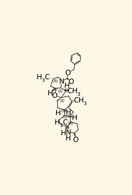 CC1=C2C[C@H]3[C@@H](CC[C@H]4NC(=O)CC[C@@]43C)[C@@H]2CC[C@@]2(C1)O[C@@H]1C[C@H](C)CN(C(=O)OCc3ccccc3)[C@H]1[C@H]2C